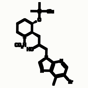 Cc1c(Br)cnc2c1ncn2CC(O)C[C@@H]1[C@@H](O[Si](C)(C)C(C)(C)C)CCCN1C(=O)O